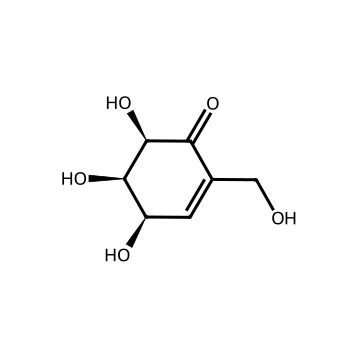 O=C1C(CO)=C[C@@H](O)[C@@H](O)[C@H]1O